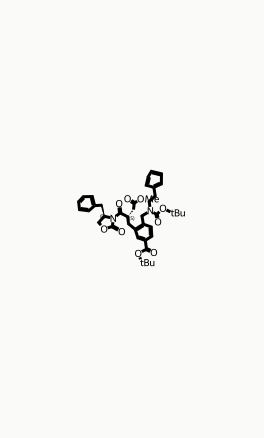 COC(=O)C[C@H](Cc1cc(C(=O)OC(C)(C)C)ccc1CN(CCc1ccccc1)C(=O)OC(C)(C)C)C(=O)N1C(=O)OC[C@H]1Cc1ccccc1